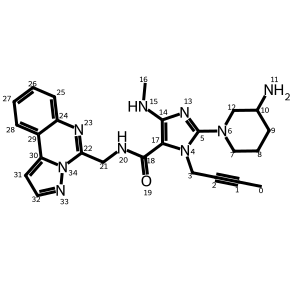 CC#CCn1c(N2CCCC(N)C2)nc(NC)c1C(=O)NCc1nc2ccccc2c2ccnn12